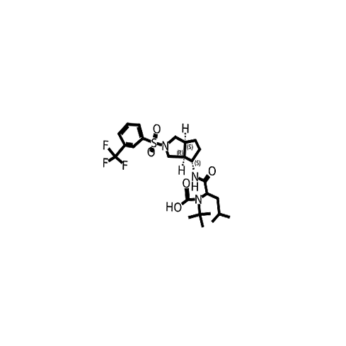 CC(C)CC(C(=O)N[C@H]1CC[C@@H]2CN(S(=O)(=O)c3cccc(C(F)(F)F)c3)C[C@@H]21)N(C(=O)O)C(C)(C)C